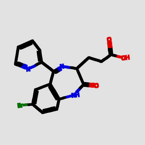 O=C(O)CCC1N=C(c2ccccn2)c2cc(Br)ccc2NC1=O